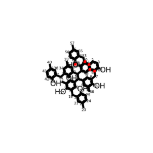 Cc1ccc(O)c(Cc2cc(C(c3cc(C)c(O)c(Cc4cc(C)ccc4O)c3)C(c3cc(C)cc(Cc4cc(C)ccc4O)c3O)c3cc(C)cc(Cc4cc(C)ccc4O)c3O)cc(C)c2O)c1